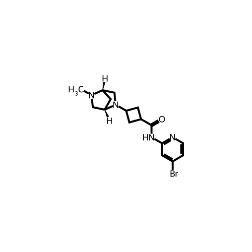 CN1C[C@@H]2C[C@H]1CN2C1CC(C(=O)Nc2cc(Br)ccn2)C1